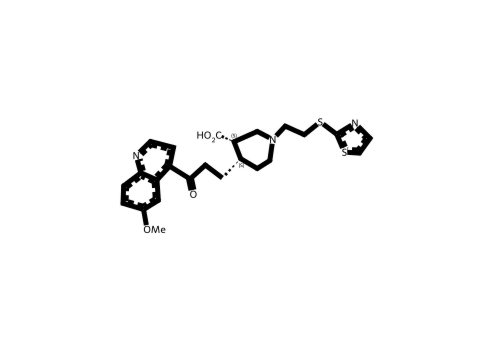 COc1ccc2nccc(C(=O)CC[C@H]3CCN(CCSc4nccs4)C[C@H]3C(=O)O)c2c1